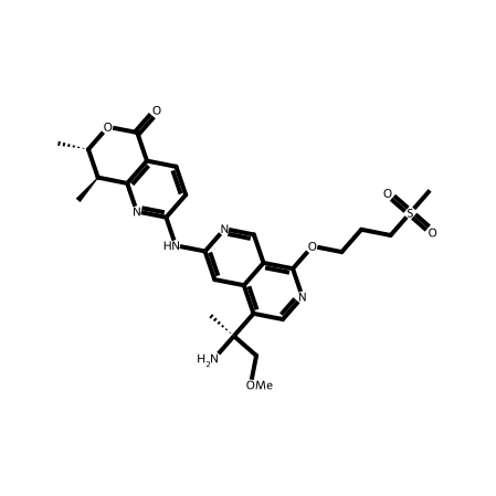 COC[C@@](C)(N)c1cnc(OCCCS(C)(=O)=O)c2cnc(Nc3ccc4c(n3)[C@@H](C)[C@H](C)OC4=O)cc12